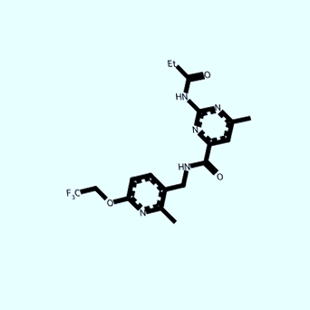 CCC(=O)Nc1nc(C)cc(C(=O)NCc2ccc(OCC(F)(F)F)nc2C)n1